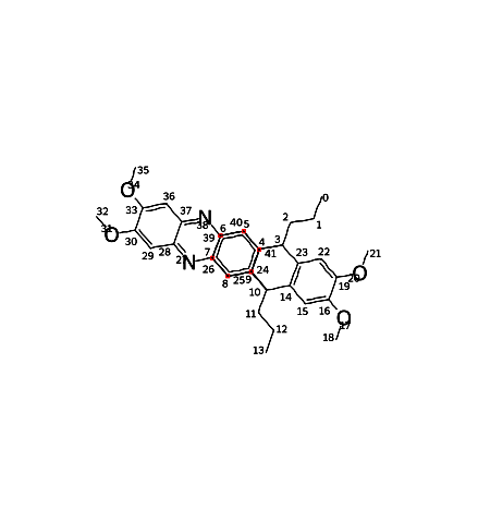 CCCC12c3ccccc3C(CCC)(c3cc(OC)c(OC)cc31)c1cc3nc4cc(OC)c(OC)cc4nc3cc12